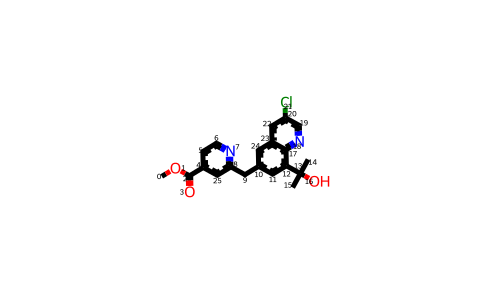 COC(=O)c1ccnc(Cc2cc(C(C)(C)O)c3ncc(Cl)cc3c2)c1